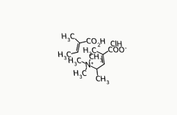 CC(=CC(C)[N+](C)(C)C)C(=O)[O-].CC=C(C)C(=O)O.Cl